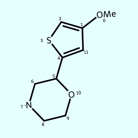 COc1csc(C2C[N]CCO2)c1